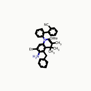 CCc1cc2c(c(Cc3ccccc3)c1N)C(C)(C)C(C)=C(OC)N2c1ccccc1-c1ccccc1C#N